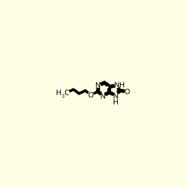 CCCCOc1ncc2[nH]c(=O)[nH]c2n1